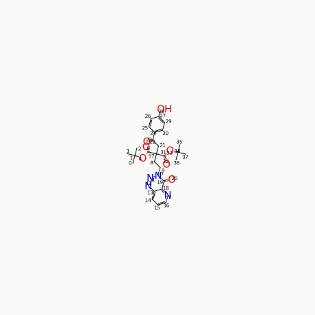 CC(C)(C)OC(=O)C(CCn1nnc2cccnc2c1=O)(CC(=O)c1ccc(O)cc1)C(=O)OC(C)(C)C